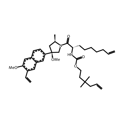 C=CCCCCC[C@H](NC(=O)OCCC(C)(C)CC=C)C(=O)N1C[C@](OC)(c2ccc3cc(OC)c(C=C)cc3c2)C[C@H]1C